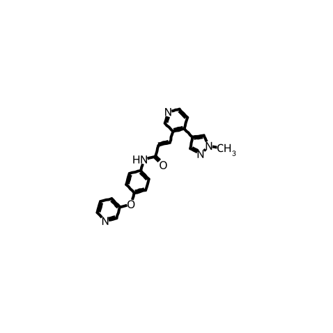 Cn1cc(-c2ccncc2C=CC(=O)Nc2ccc(Oc3cccnc3)cc2)cn1